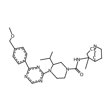 COCc1ccc(-c2ncnc(N3CCN(C(=O)NC4(C)CCN5CCC4CC5)CC3C(C)C)n2)cc1